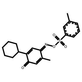 CC1=CC(=O)C(C2CCCCC2)=C/C1=N/OS(=O)(=O)c1cccc(C)c1